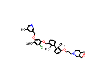 Cc1c(COc2cc(OCc3cncc(C#N)c3)c(C=O)cc2Cl)cccc1-c1cccc(OCCCN2CCC3COCC3C2)c1C